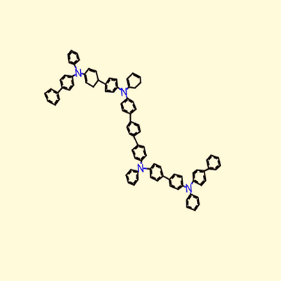 C1=CCCC(N(c2ccc(-c3ccc(-c4ccc(N(c5ccccc5)c5ccc(-c6ccc(N(c7ccccc7)c7ccc(-c8ccccc8)cc7)cc6)cc5)cc4)cc3)cc2)c2ccc(C3C=CC(N(c4ccccc4)c4ccc(-c5ccccc5)cc4)=CC3)cc2)=C1